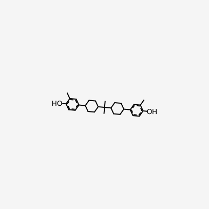 Cc1cc(C2CCC(C(C)(C)C3CCC(c4ccc(O)c(C)c4)CC3)CC2)ccc1O